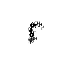 CC(C)(C)c1cc(-c2nc(-c3ccc(NS(=O)(=O)C(F)(F)F)cc3Cl)co2)ccn1